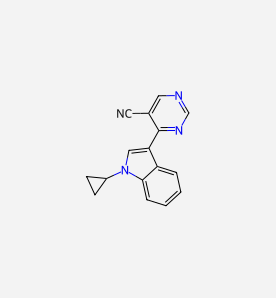 N#Cc1cncnc1-c1cn(C2CC2)c2ccccc12